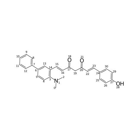 CN(C)c1ccc(-c2ccccc2)cc1/C=C/C(=O)CC(=O)/C=C/c1ccc(O)cc1